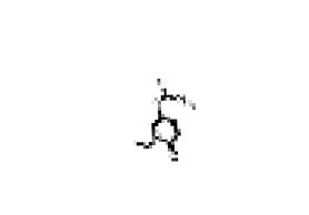 CCn1cc(OC(F)P)ccc1=O